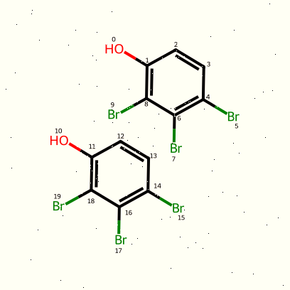 Oc1ccc(Br)c(Br)c1Br.Oc1ccc(Br)c(Br)c1Br